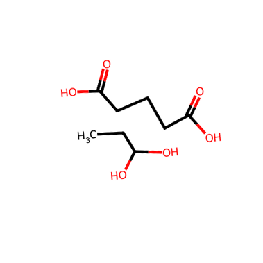 CCC(O)O.O=C(O)CCCC(=O)O